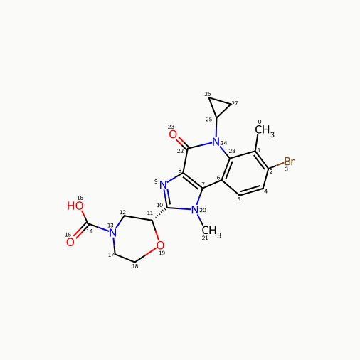 Cc1c(Br)ccc2c3c(nc([C@H]4CN(C(=O)O)CCO4)n3C)c(=O)n(C3CC3)c12